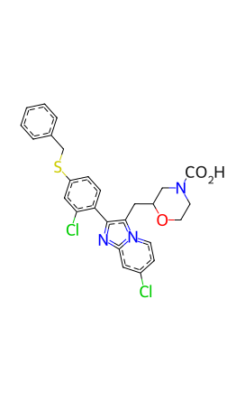 O=C(O)N1CCOC(Cc2c(-c3ccc(SCc4ccccc4)cc3Cl)nc3cc(Cl)ccn23)C1